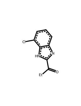 CCC(=O)c1nc2cccc(Cl)c2[nH]1